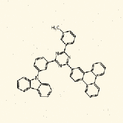 Cc1cccc(-c2nc(-c3cccc(-n4c5ccccc5c5ccccc54)c3)nc(-c3ccc4c5ccccc5c5ccccc5c4c3)n2)c1